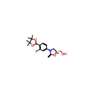 C=C1O[C@@H](CO)CN1c1ccc(B2OC(C)(C)C(C)(C)O2)c(F)c1